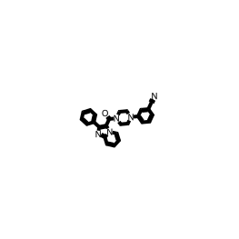 N#Cc1cccc(N2CCN(C(=O)c3c(-c4ccccc4)nc4ccccn34)CC2)c1